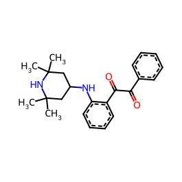 CC1(C)CC(Nc2ccccc2C(=O)C(=O)c2ccccc2)CC(C)(C)N1